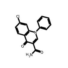 NC(=O)c1cn(-c2ccccc2)c2cc(Cl)ccc2c1=O